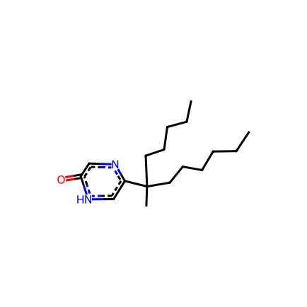 CCCCCCC(C)(CCCCC)c1c[nH]c(=O)cn1